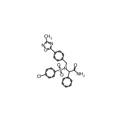 Cc1noc(-c2ccc(CN(C(C(N)=O)c3ccccc3)S(=O)(=O)c3ccc(Cl)cc3)cc2)n1